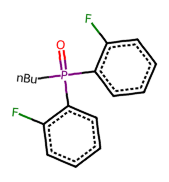 CCCCP(=O)(c1ccccc1F)c1ccccc1F